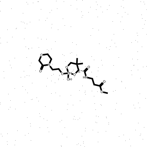 COC(=O)CCNC(=O)[C@@H]1O[PH](O)(OCCN2CCOCC2=O)OCC1(C)C